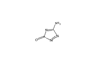 NC1=NC(=O)N=N1